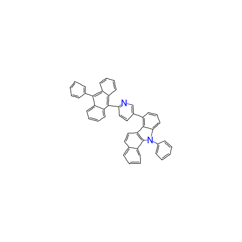 c1ccc(-c2c3ccccc3c(-c3ccc(-c4cccc5c4c4ccc6ccccc6c4n5-c4ccccc4)cn3)c3ccccc23)cc1